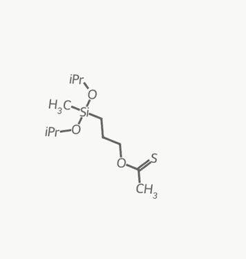 CC(=S)OCCC[Si](C)(OC(C)C)OC(C)C